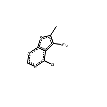 Bc1c(C)sc2ncnc(Cl)c12